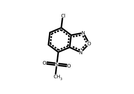 CS(=O)(=O)c1ccc(Cl)c2nonc12